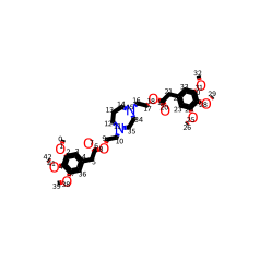 COc1cc(CC(=O)OCCN2CCCN(CCOC(=O)Cc3cc(OC)c(OC)c(OC)c3)CC2)cc(OC)c1OC